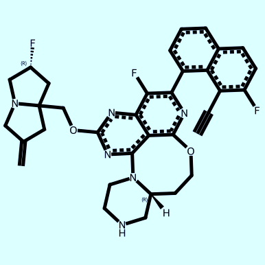 C#Cc1c(F)ccc2cccc(-c3nc4c5c(nc(OCC67CC(=C)CN6C[C@H](F)C7)nc5c3F)N3CCNC[C@H]3CCO4)c12